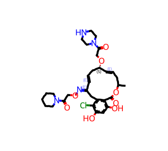 CC1C/C=C/[C@@H](OCC(=O)N2CCNCC2)C/C=C/C(=N/OCC(=O)N2CCCCC2)Cc2c(Cl)c(O)cc(O)c2C(=O)O1